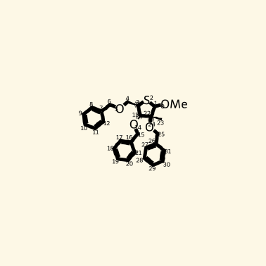 COC1S[C@H](COCc2ccccc2)[C@@H](OCc2ccccc2)[C@@]1(C)OCc1ccccc1